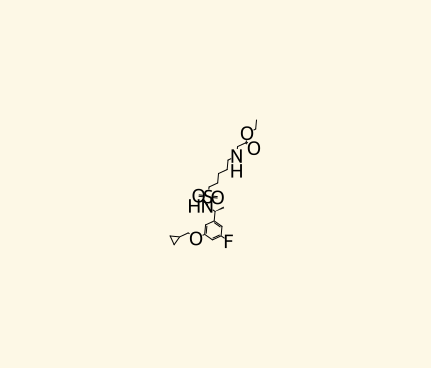 CCOC(=O)CNCCCCCS(=O)(=O)N[C@@H](C)c1cc(F)cc(OCC2CC2)c1